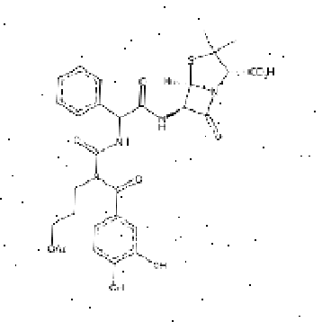 CC(=O)OCCCN(C(=O)NC(C(=O)N[C@@H]1C(=O)N2[C@@H]1SC(C)(C)[C@@H]2C(=O)O)c1ccccc1)C(=O)c1ccc(O)c(O)c1